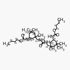 CCCCOC(=O)NC1CC(C)(C)CC(C)(CNC(=O)NCC2(C)CC(NC(=O)OCCCC)CC(C)(C)C2)C1